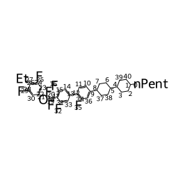 CCCCCC1CCC(C2CCC(c3ccc(-c4cc(F)c(C(F)(F)Oc5cc(F)c(CC)c(F)c5)c(F)c4)c(F)c3)CC2)CC1